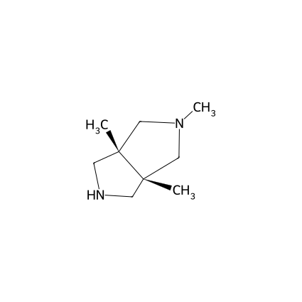 CN1C[C@]2(C)CNC[C@]2(C)C1